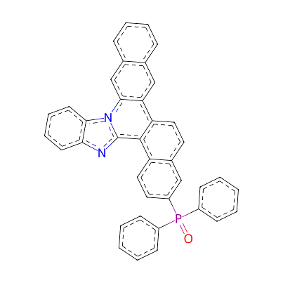 O=P(c1ccccc1)(c1ccccc1)c1ccc2c(ccc3c4cc5ccccc5cc4n4c5ccccc5nc4c23)c1